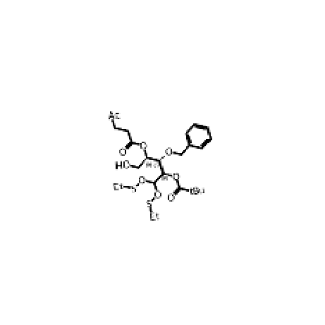 CCSOC(OSCC)[C@H](OC(=O)C(C)(C)C)[C@@H](OCc1ccccc1)[C@@H](CO)OC(=O)CCC(C)=O